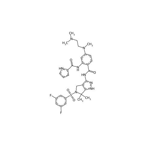 CN(C)CCN(C)c1ccc(C(=O)Nc2n[nH]c3c2CN(S(=O)(=O)c2cc(F)cc(F)c2)C3(C)C)c(NC(=O)c2ccc[nH]2)c1